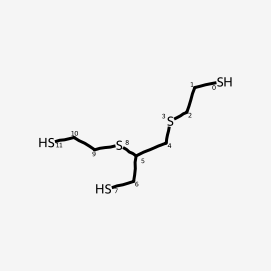 SCCSCC(CS)SCCS